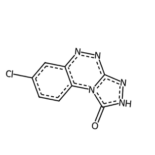 O=c1[nH]nc2nnc3cc(Cl)ccc3n12